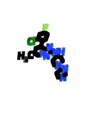 Cc1cc(-c2ccc(F)cc2Cl)c2nc(NC3CCN(c4ccncn4)CC3)nn2c1